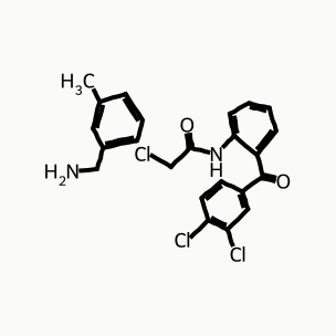 Cc1cccc(CN)c1.O=C(CCl)Nc1ccccc1C(=O)c1ccc(Cl)c(Cl)c1